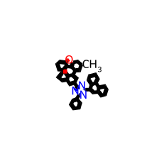 CC1C=C(c2cc(-c3nc(-c4ccccc4)nc(-c4cc5ccccc5c5ccccc45)n3)cc3ccccc23)c2c(oc3ccccc23)C1